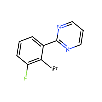 CC(C)c1c(F)cccc1-c1ncccn1